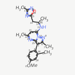 COc1ccc(-c2c(C)nn3c(N[C@H](C)Cc4nc(C)no4)cc(C)nc23)c(C)c1